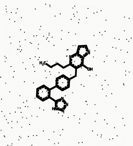 CCCCc1nc2ccnn2c(O)c1Cc1ccc(-c2ccccc2-c2nnn[nH]2)cc1